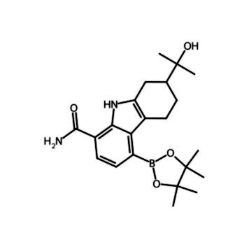 CC(C)(O)C1CCc2c([nH]c3c(C(N)=O)ccc(B4OC(C)(C)C(C)(C)O4)c23)C1